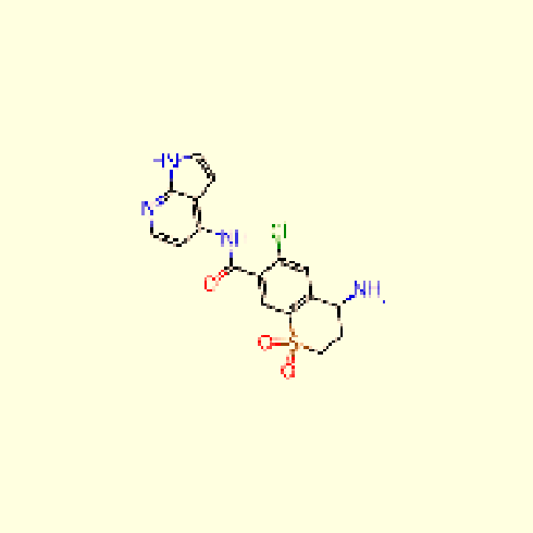 N[C@H]1CCS(=O)(=O)c2cc(C(=O)Nc3ccnc4[nH]ccc34)c(Cl)cc21